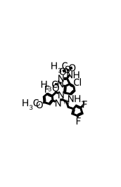 COc1cc(F)c2c(=O)n(-c3ccc(Cl)c4c(NS(C)(=O)=O)nn(C)c34)c([C@@H](N)Cc3cc(F)cc(F)c3)nc2c1